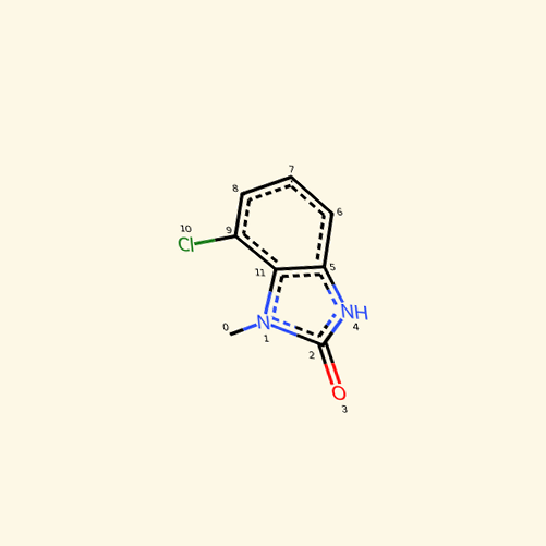 Cn1c(=O)[nH]c2c[c]cc(Cl)c21